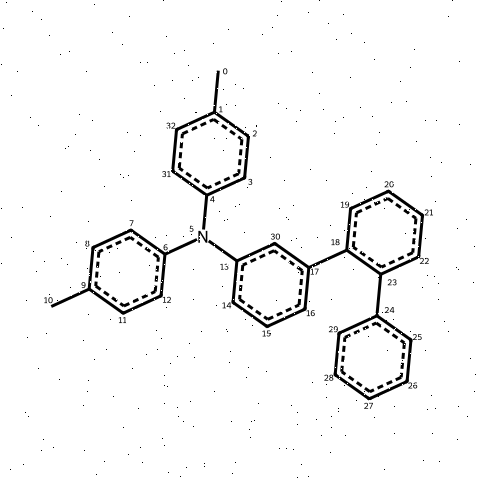 Cc1ccc(N(c2ccc(C)cc2)c2cccc(-c3ccccc3-c3ccccc3)c2)cc1